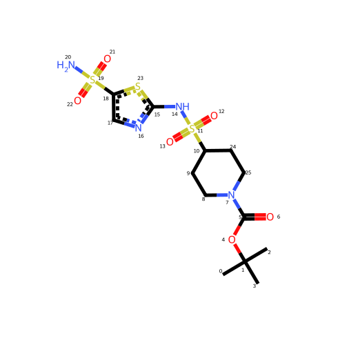 CC(C)(C)OC(=O)N1CCC(S(=O)(=O)Nc2ncc(S(N)(=O)=O)s2)CC1